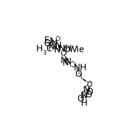 CC[C@@H]1C(=O)N(C)c2cnc(Nc3ccc(-c4cn(C5CCC(NCCOCCC#Cc6cccc7c6CN(C6CCC(=O)NC6=O)C7=O)CC5)nn4)cc3OC)nc2N1C1CCCC1